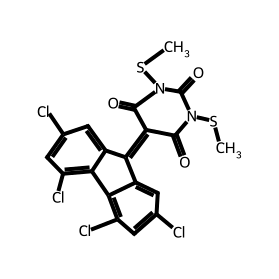 CSN1C(=O)C(=C2c3cc(Cl)cc(Cl)c3-c3c(Cl)cc(Cl)cc32)C(=O)N(SC)C1=O